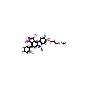 CNCCCOc1cc2c(cc1F)c1c3c(c(-c4ccccc4Cl)cc1n2C)C(=O)NC3=O